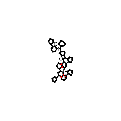 Fc1cc(-c2ccccc2)cc(-c2ccccc2)c1N(c1ccc2c(c1)c1ccccc1c1c3ccc(N(c4ccccc4)c4cccc5c4oc4ccccc45)cc3oc21)c1ccccc1-c1ccccc1